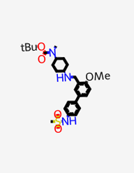 COc1ccc(-c2ccc(NS(C)(=O)=O)cc2)cc1CN[C@H]1CC[C@H](N(C)C(=O)OC(C)(C)C)CC1